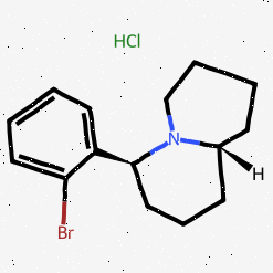 Brc1ccccc1[C@@H]1CCC[C@H]2CCCCN21.Cl